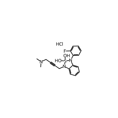 CN(C)CC#CCN1c2ccccc2N(c2ccccc2F)S1(O)O.Cl